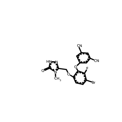 Cn1c(COc2ccc(Br)c(F)c2Oc2cc(C#N)cc(C#N)c2)n[nH]c1=O